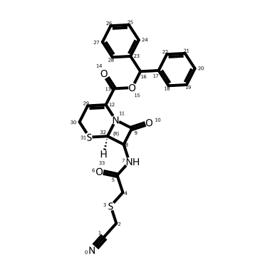 N#CCSCC(=O)NC1C(=O)N2C(C(=O)OC(c3ccccc3)c3ccccc3)=CCS[C@H]12